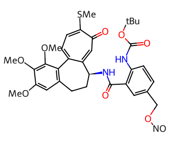 COc1cc2c(c(OC)c1OC)-c1ccc(SC)c(=O)cc1[C@@H](NC(=O)c1cc(CON=O)ccc1NC(=O)OC(C)(C)C)CC2